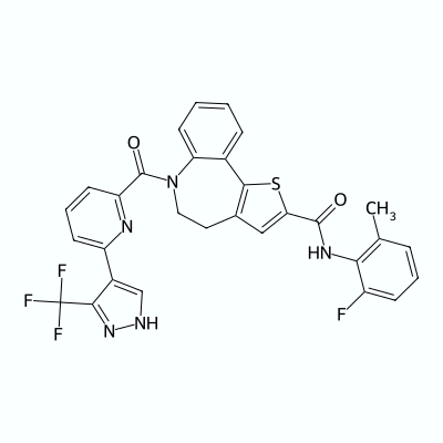 Cc1cccc(F)c1NC(=O)c1cc2c(s1)-c1ccccc1N(C(=O)c1cccc(-c3c[nH]nc3C(F)(F)F)n1)CC2